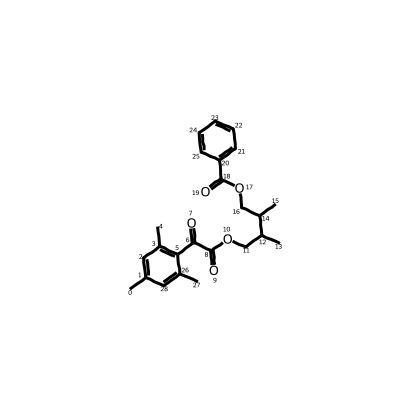 Cc1cc(C)c(C(=O)C(=O)OCC(C)C(C)COC(=O)c2ccccc2)c(C)c1